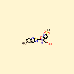 CCS(=O)(=O)c1ccc(C(CCO)NC(=O)c2nc3cc4c(nc3s2)CC[C@H](C(C)(C)C)C4)cn1